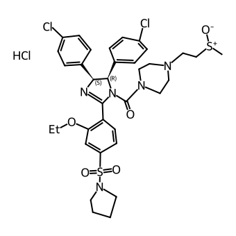 CCOc1cc(S(=O)(=O)N2CCCC2)ccc1C1=N[C@@H](c2ccc(Cl)cc2)[C@@H](c2ccc(Cl)cc2)N1C(=O)N1CCN(CC[S+](C)[O-])CC1.Cl